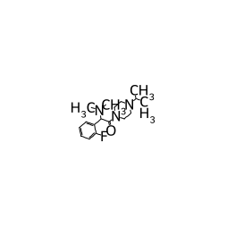 CC(C)N1CCN(C(=O)C(c2ccccc2F)N(C)C)CC1